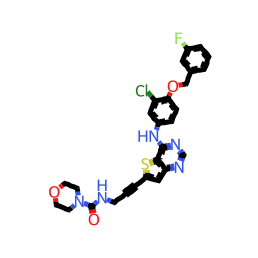 O=C(NCC#Cc1cc2ncnc(Nc3ccc(OCc4cccc(F)c4)c(Cl)c3)c2s1)N1CCOCC1